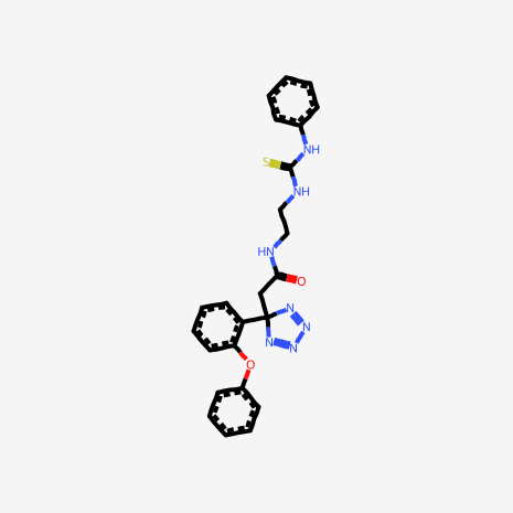 O=C(CC1(c2ccccc2Oc2ccccc2)N=NN=N1)NCCNC(=S)Nc1ccccc1